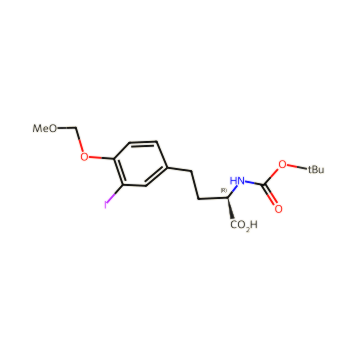 COCOc1ccc(CC[C@@H](NC(=O)OC(C)(C)C)C(=O)O)cc1I